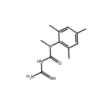 Cc1cc(C)c(N(C)C(=O)NC(=N)N)c(C)c1